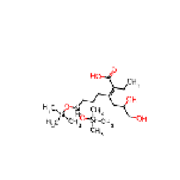 CCC(C(=O)O)=C(CCC[SiH](O[Si](C)(C)C)O[Si](C)(C)C)CC(O)CO